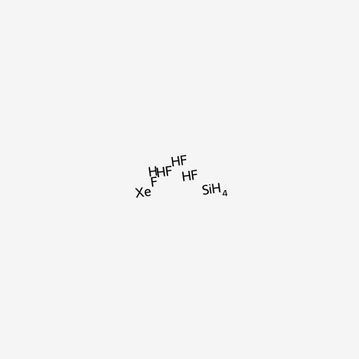 F.F.F.F.[SiH4].[Xe]